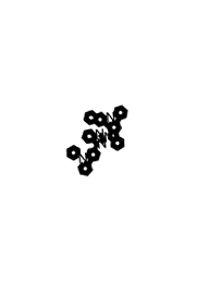 c1ccc(-n2c3ccccc3c3ccc(-c4nc(-n5c6ccccc6c6cc7c8ccccc8n8c9cc%10ccccc%10cc9c(c65)c78)nc5ccccc45)cc32)cc1